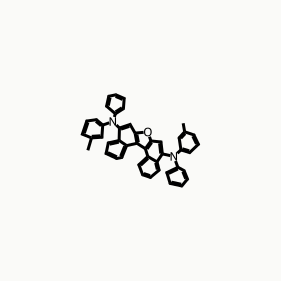 Cc1cccc(N(c2ccccc2)c2cc3oc4cc(N(c5ccccc5)c5cccc(C)c5)c5ccccc5c4c3c3ccccc23)c1